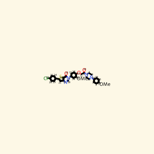 COc1ccc(N2CCN(C(=O)COc3ccc(-n4cnc5cc(-c6ccc(Cl)cc6)sc5c4=O)cc3OC)CC2)cc1